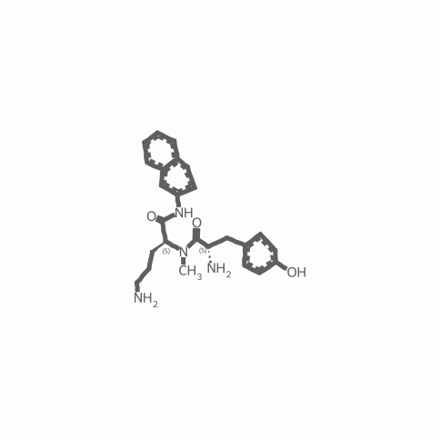 CN(C(=O)[C@@H](N)Cc1ccc(O)cc1)[C@@H](CCCN)C(=O)Nc1ccc2ccccc2c1